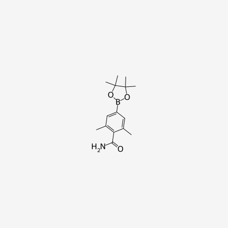 Cc1cc(B2OC(C)(C)C(C)(C)O2)cc(C)c1C(N)=O